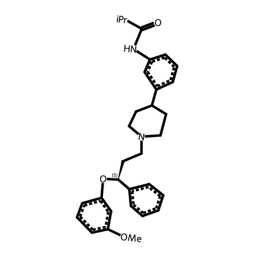 COc1cccc(O[C@@H](CCN2CCC(c3cccc(NC(=O)C(C)C)c3)CC2)c2ccccc2)c1